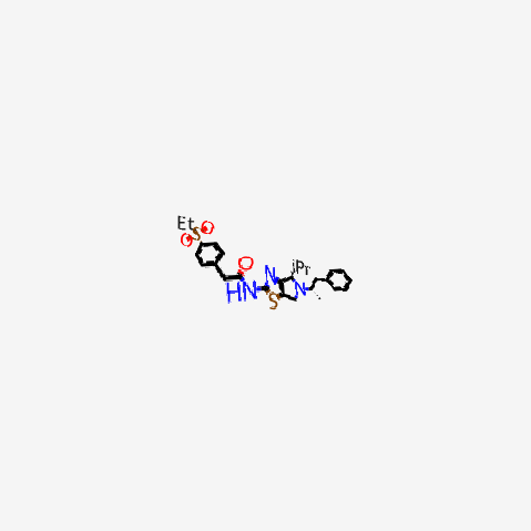 CCS(=O)(=O)c1ccc(CC(=O)Nc2nc3c(s2)CN([C@@H](C)Cc2ccccc2)[C@@H]3C(C)C)cc1